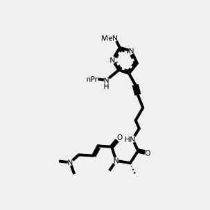 CCCNc1nc(NC)ncc1C#CCCCNC(=O)[C@H](C)N(C)C(=O)/C=C/CN(C)C